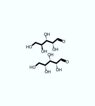 O=C[C@H](O)[C@@H](O)[C@@H](O)CO.O=C[C@H](O)[C@@H](O)[C@H](O)CO